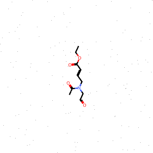 CCOC(=O)/C=C/CN(CC=O)C(C)=O